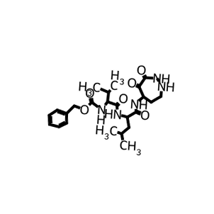 CC(C)CC(NC(=O)C(NC(=O)OCc1ccccc1)C(C)C)C(=O)NC1CCNNC(=O)C1=O